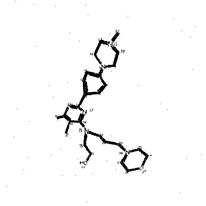 Cc1nc(-c2ccc(N3CCN(C)CC3)cc2)nc(N(CCO)CCCN2CCOCC2)c1C